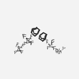 C1=C2CCC(=C1)C2.C1=C2CCC(=C1)C2.F[B-](F)(F)F.F[B-](F)(F)F.F[B-](F)(F)F.[Rh+3]